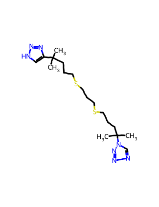 CC(C)(CCCSCCCSCCCC(C)(C)n1cnnn1)c1c[nH]nn1